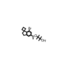 CB(OC(C)(C)C(C)(C)O)c1cc(Br)c2c(c1)CCC21CCC1